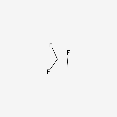 CF.FCF